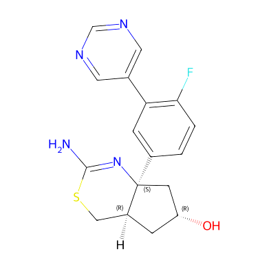 NC1=N[C@@]2(c3ccc(F)c(-c4cncnc4)c3)C[C@H](O)C[C@H]2CS1